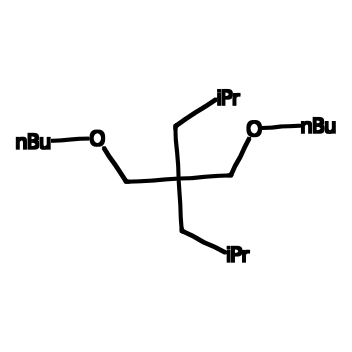 CCCCOCC(COCCCC)(CC(C)C)CC(C)C